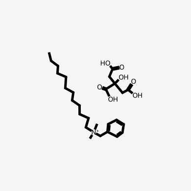 CCCCCCCCCCCC[N+](C)(C)Cc1ccccc1.O=C(O)CC(O)(CC(=O)O)C(=O)O